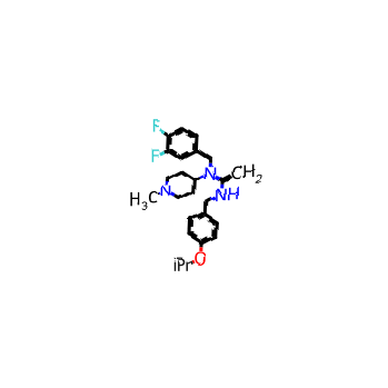 C=C(NCc1ccc(OC(C)C)cc1)N(Cc1ccc(F)c(F)c1)C1CCN(C)CC1